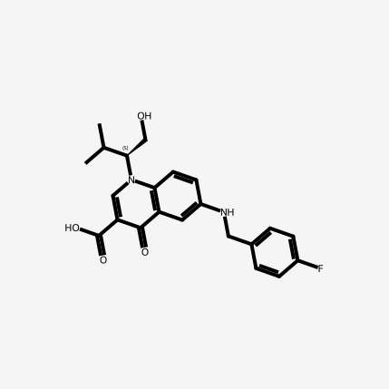 CC(C)[C@@H](CO)n1cc(C(=O)O)c(=O)c2cc(NCc3ccc(F)cc3)ccc21